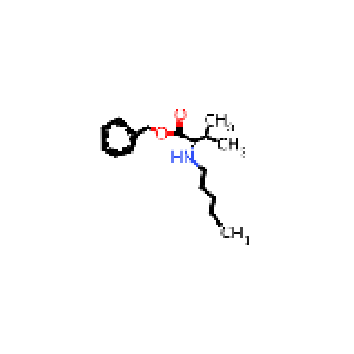 CCCCCN[C@H](C(=O)OCc1ccccc1)C(C)C